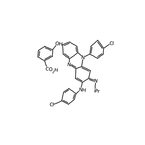 CC(C)N=c1cc2n(-c3ccc(Cl)cc3)c3ccccc3nc-2cc1Nc1ccc(Cl)cc1.O=C(O)c1cccc(O)c1